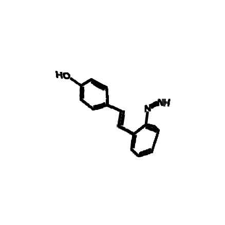 N=Nc1ccccc1C=Cc1ccc(O)cc1